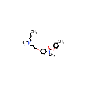 CCCCCN(C)CCCCO[C@H]1CC[C@H](N(C)C(=O)Oc2ccc(C)cc2)CC1